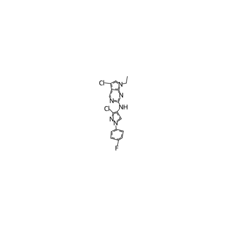 CCn1cc(Cl)c2cnc(Nc3cn(-c4ccc(F)cc4)nc3Cl)nc21